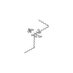 CCCCCCCC/C=C\CCCCCCCC(=O)NC(C)N(CCO)C(C)NC(=O)CCCCCCC/C=C\CCCCCCCC.COS(=O)(=O)O